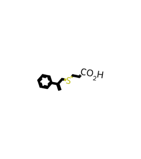 C=C(CSCCC(=O)O)c1ccccc1